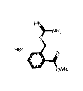 Br.COC(=O)c1ccccc1CSC(=N)N